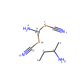 CCC(C)N.N#C[S][Pd]([NH2])[S]C#N